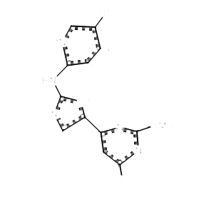 CSc1nc(C)cc(-c2cnc(Nc3ccc(Br)cn3)s2)n1